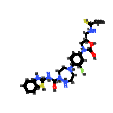 COC(=S)NC[C@H]1CN(c2ccc(N3CCNN(C(=O)Nc4nc5ccccc5s4)CC3)c(F)c2)C(=O)O1